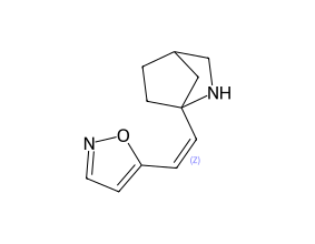 C(=C/C12CCC(CN1)C2)/c1ccno1